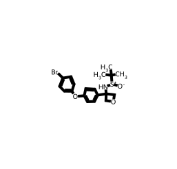 CC(C)(C)[S+]([O-])NC1(c2ccc(Oc3ccc(Br)cc3)cc2)COC1